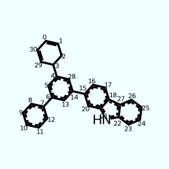 C1=CCC(c2cc(-c3ccccc3)cc(-c3ccc4c(c3)[nH]c3ccccc34)c2)C=C1